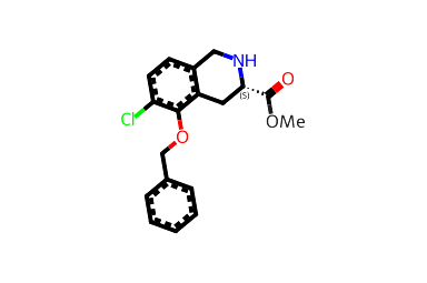 COC(=O)[C@@H]1Cc2c(ccc(Cl)c2OCc2ccccc2)CN1